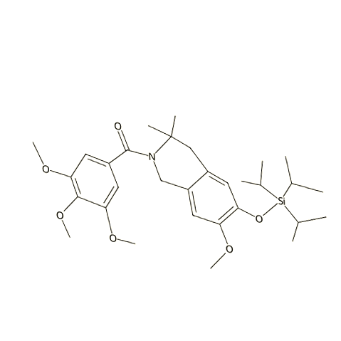 COc1cc2c(cc1O[Si](C(C)C)(C(C)C)C(C)C)CC(C)(C)N(C(=O)c1cc(OC)c(OC)c(OC)c1)C2